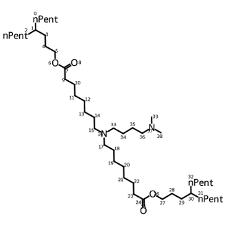 CCCCCC(CCCCC)CCCOC(=O)CCCCCCCN(CCCCCCCC(=O)OCCCC(CCCCC)CCCCC)CCCCN(C)C